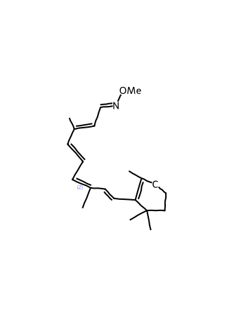 CON=CC=C(C)C=C/C=C(/C)C=CC1=C(C)CCCC1(C)C